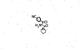 Cl.N#Cc1ccc(CC(N)C(=O)N2CCCCC2)cc1